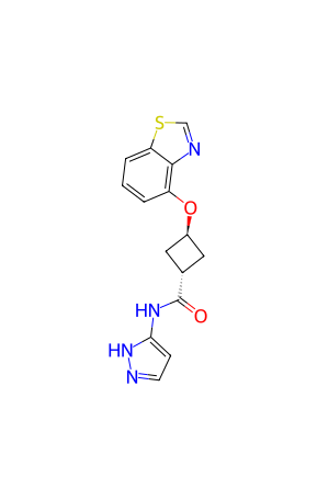 O=C(Nc1ccn[nH]1)[C@H]1C[C@H](Oc2cccc3scnc23)C1